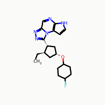 CC[C@@H]1C[C@@H](OC2CCC(F)CC2)C[C@H]1c1nnc2cnc3[nH]ccc3n12